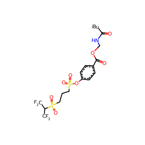 CCC(C)C(=O)NCOC(=O)c1ccc(OS(=O)(=O)CCCS(=O)(=O)C(C(F)(F)F)C(F)(F)F)cc1